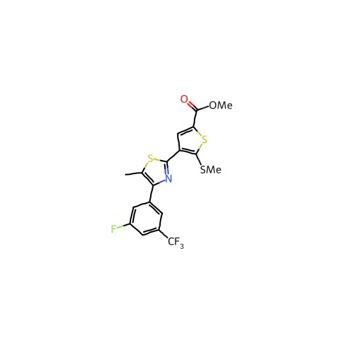 COC(=O)c1cc(-c2nc(-c3cc(F)cc(C(F)(F)F)c3)c(C)s2)c(SC)s1